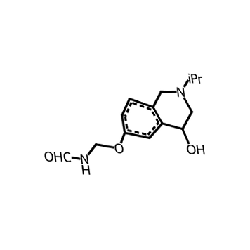 CC(C)N1Cc2ccc(OCNC=O)cc2C(O)C1